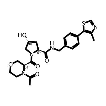 CC(=O)N1CCOC[C@H]1C(=O)N1C[C@H](O)C[C@H]1C(=O)NCc1ccc(-c2scnc2C)cc1